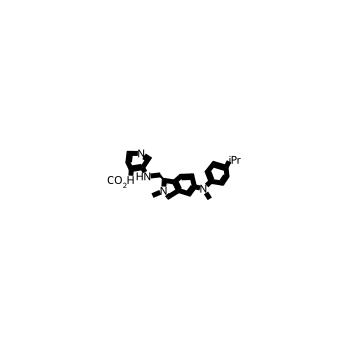 CC(C)c1ccc(N(C)c2ccc3c(c2)CN(C)[C@H]3CNc2cnccc2C(=O)O)cc1